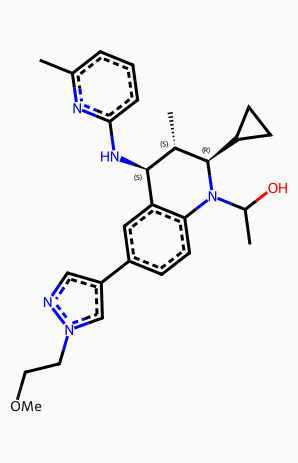 COCCn1cc(-c2ccc3c(c2)[C@@H](Nc2cccc(C)n2)[C@H](C)[C@@H](C2CC2)N3C(C)O)cn1